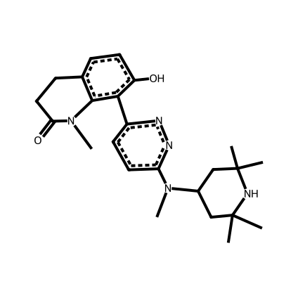 CN1C(=O)CCc2ccc(O)c(-c3ccc(N(C)C4CC(C)(C)NC(C)(C)C4)nn3)c21